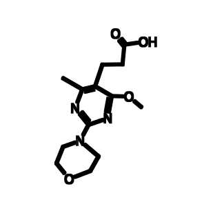 COc1nc(N2CCOCC2)nc(C)c1CCC(=O)O